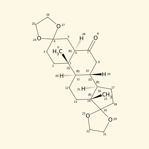 C[C@@]12CCC3(C[C@H]1C(=O)C[C@H]1[C@H]2CC[C@]2(C)[C@@H]1CCC21OCCO1)OCCO3